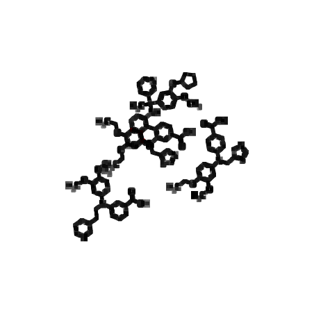 CCOc1ccc(N(Cc2cncs2)c2cc(C(=O)O)ccc2-c2c(NC(C)(c3cccnc3)c3ccc(OC)c(OC4CCCC4)c3)cccc2C(=O)O)cc1OCC.CCOc1ccc(N(Cc2cncs2)c2ccc(C(=O)O)cc2)cc1OC.COc1ccc(N(CCc2cccnc2)c2cccc(C(=O)O)c2)cc1OC